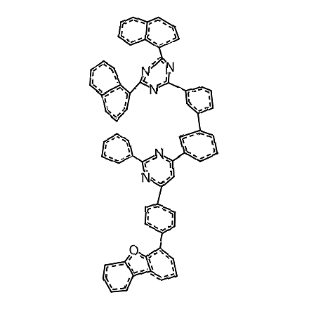 c1ccc(-c2nc(-c3ccc(-c4cccc5c4oc4ccccc45)cc3)cc(-c3cccc(-c4cccc(-c5nc(-c6cccc7ccccc67)nc(-c6cccc7ccccc67)n5)c4)c3)n2)cc1